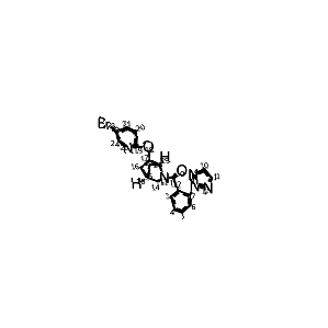 O=C(c1ccccc1-n1nccn1)N1C[C@H]2C[C@@H](Oc3ccc(Br)cn3)[C@@H]1C2